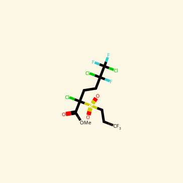 COC(=O)C(Cl)(CCC(F)(Cl)C(F)(F)Cl)S(=O)(=O)CCC(F)(F)F